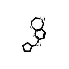 c1cc2c(nc1NC1CCCC1)OCCNC2